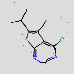 CC(C)c1sc2ncnc(Cl)c2c1I